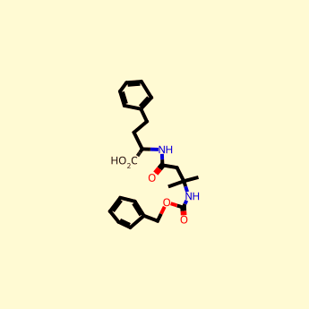 CC(C)(CC(=O)NC(CCc1ccccc1)C(=O)O)NC(=O)OCc1ccccc1